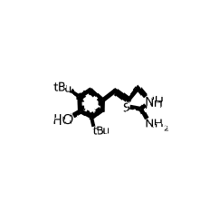 CC(C)(C)c1cc(C=C2CNC(N)S2)cc(C(C)(C)C)c1O